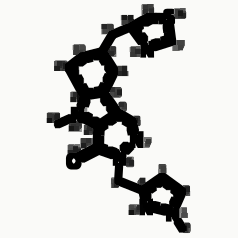 Cn1ccc(Cn2ncc3c4cc(Cc5cscn5)ccc4n(C)c3c2=O)n1